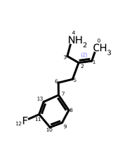 C/C=C(\CN)CCc1cccc(F)c1